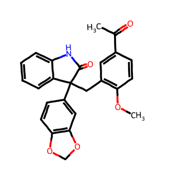 COc1ccc(C(C)=O)cc1CC1(c2ccc3c(c2)OCO3)C(=O)Nc2ccccc21